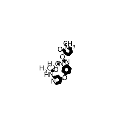 CC(=O)Nc1cc(Oc2ccc3nc(Oc4cccn(C)c4=O)n(C)c3c2)ccn1